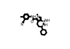 Cc1ccc(NC(=O)c2c3c(cn2C)S(=N)NC(C2CCCCC2)CC3)cc1C#N